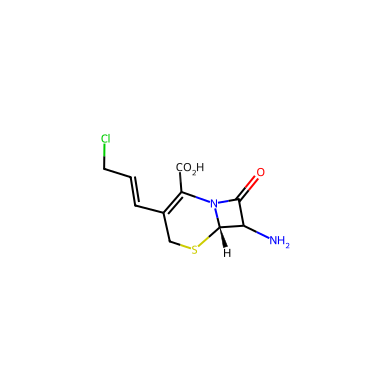 NC1C(=O)N2C(C(=O)O)=C(C=CCCl)CS[C@@H]12